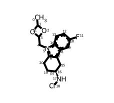 CC1OC(Cn2c3c(c4cc(F)ccc42)C[C@@H](NCl)CC3)O1